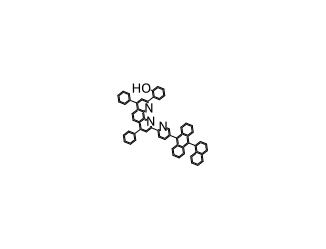 Oc1ccccc1-c1cc(-c2ccccc2)c2ccc3c(-c4ccccc4)cc(-c4ccc(-c5c6ccccc6c(-c6cccc7ccccc67)c6ccccc56)cn4)nc3c2n1